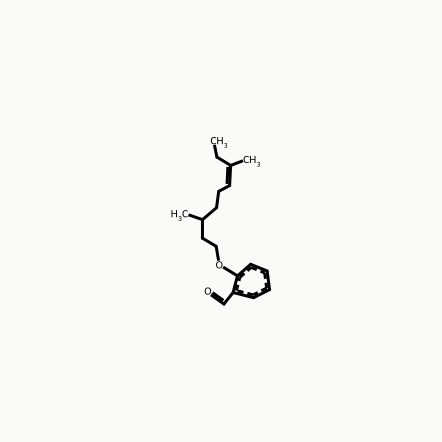 CCC(C)=CCCC(C)CCOc1ccccc1C=O